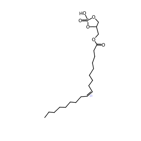 CCCCCCCC/C=C\CCCCCCCC(=O)OCC1COP(=O)(O)O1